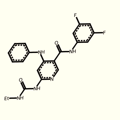 CCNC(=O)Nc1cc(Nc2ccccc2)c(C(=O)Nc2cc(F)cc(F)c2)cn1